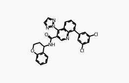 O=C(NC1CCOc2ccccc21)c1cnc2c(-c3cc(Cl)cc(Cl)c3)cccc2c1-n1nccn1